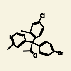 CC(=O)[C@@](c1ccc(Br)cc1)(c1ccnc(C)c1)c1ccc(Cl)cc1C